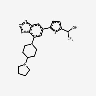 OC(c1ccc(-c2cc(N3CCC(N4CCCC4)CC3)c3nonc3c2)s1)C(F)(F)F